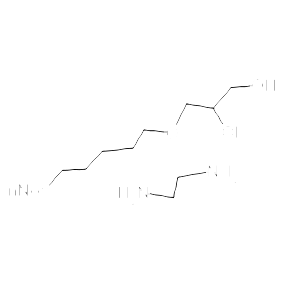 CCCCCCCCCCCCCCOCC(O)CO.NCCN